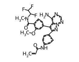 C=CC(=O)Nc1ccc(-c2nn3ncnc(N)c3c2-c2ccc(C(=O)N(C)C(F)C(F)F)c(OC)c2)cc1